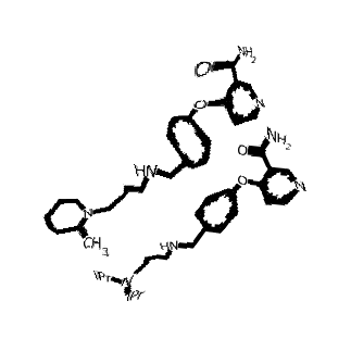 CC(C)N(CCNCc1ccc(Oc2ccncc2C(N)=O)cc1)C(C)C.CC1CCCCN1CCCNCc1ccc(Oc2ccncc2C(N)=O)cc1